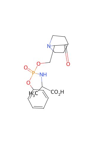 CC(NP(=O)(OCC1C(=O)C2CCN1CC2)Oc1ccccc1)C(=O)O